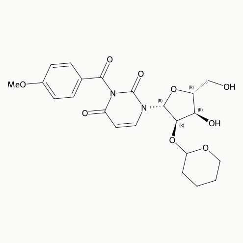 COc1ccc(C(=O)n2c(=O)ccn([C@@H]3O[C@H](CO)[C@@H](O)[C@H]3OC3CCCCO3)c2=O)cc1